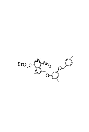 CCOC(=O)c1cnc(N)c2c(COc3cc(C)cc(OCc4ccc(C)cc4)c3)csc12